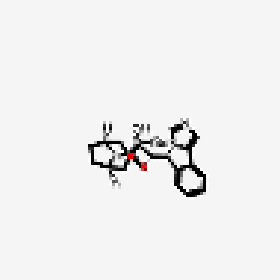 CC(C)(C)OC(=O)N1[C@@H]2CC[C@H]1CC1(C[C@@H]([C@H]3c4ccccc4-c4cncn43)[C@H]1O)C2